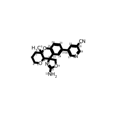 CC12CCCOC1C1(COC(N)=N1)c1cc(-c3cncc(C#N)c3)ccc1O2